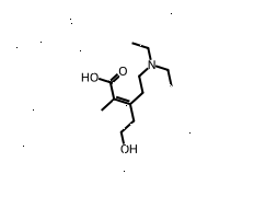 CCN(CC)CCC(CCO)=C(C)C(=O)O